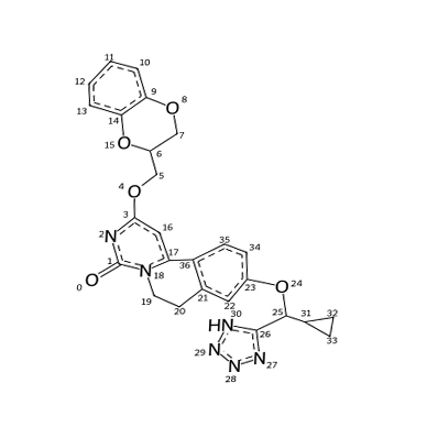 O=c1nc(OCC2COc3ccccc3O2)cc2n1CCc1cc(OC(c3nnn[nH]3)C3CC3)ccc1-2